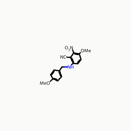 COc1ccc(CNc2ccc(OC)c([N+](=O)[O-])c2C#N)cc1